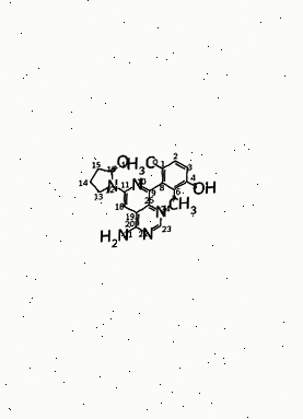 Cc1ccc(O)c(C)c1-c1nc(N2CCCC2=O)cc2c(N)ncnc12